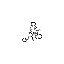 CCOC(=O)c1nc2n(c(=O)c1OCc1ccccc1)CC1CCCC2(NC(=O)OCc2ccccc2)C1